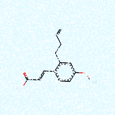 C=CCCc1cc(OC)ccc1C=CC(=O)O